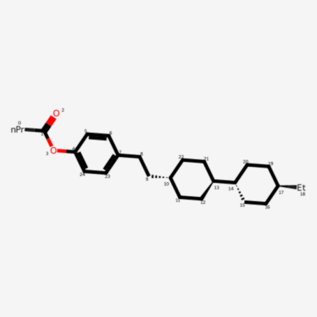 CCCC(=O)Oc1ccc(CC[C@H]2CC[C@H]([C@H]3CC[C@H](CC)CC3)CC2)cc1